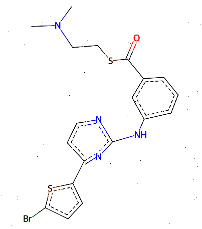 CN(C)CCSC(=O)c1cccc(Nc2nccc(-c3ccc(Br)s3)n2)c1